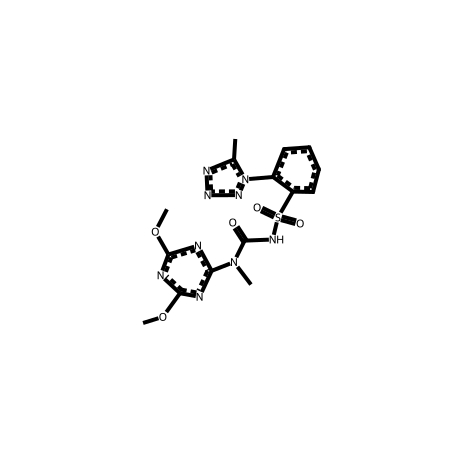 COc1nc(OC)nc(N(C)C(=O)NS(=O)(=O)c2ccccc2-n2nnnc2C)n1